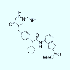 COC(=O)C1Cc2cccc(NC(=O)C(c3ccc(CC4CN(CC(C)C)NCC4=O)cc3)C3CCCC3)c2C1